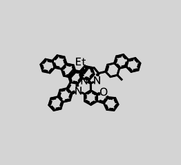 CCC1=C(c2ccc3c(ccc4ccccc43)c2)N=C(c2c(-n3c4cc5ccccc5cc4c4ccc5ccccc5c43)ccc3c2oc2ccccc23)N=C(C2=Cc3ccc4ccccc4c3C(C)C2)C1